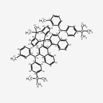 Cc1cccc(N(c2ccc([Si](C)(C)C)cc2)c2cc3c(c4ccccc24)-c2c(cc(N(c4ccc([Si](C)(C)C)cc4)c4cccc(C)c4)c4ccccc24)C32c3ccccc3C(C)(C)c3ccccc32)c1